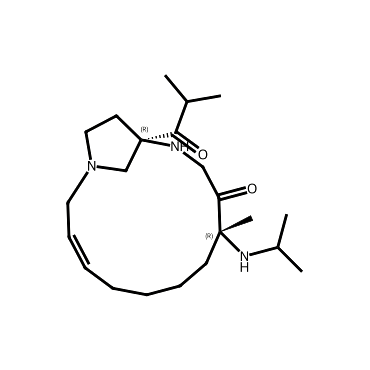 CC(C)N[C@]1(C)CCCCC=CCN2CC[C@](C(=O)C(C)C)(C2)NCC1=O